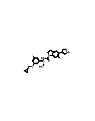 O=C(N[C@H](CO)c1cc(F)cc(OCC2CC2)c1)N1CCc2cc(-c3cn[nH]c3)c(F)cc21